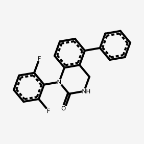 O=C1NCc2c(-c3ccccc3)cccc2N1c1c(F)cccc1F